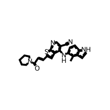 Cc1c(Nc2c(C#N)cnc3sc(C=CC(=O)N4CCCCC4)cc23)ccc2[nH]ccc12